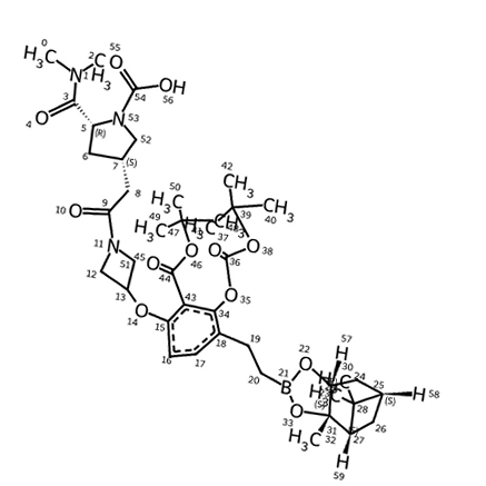 CN(C)C(=O)[C@H]1C[C@@H](CC(=O)N2CC(Oc3ccc(CCB4O[C@@H]5C[C@@H]6C[C@@H](C6(C)C)[C@]5(C)O4)c(OC(=O)OC(C)(C)C)c3C(=O)OC(C)(C)C)C2)CN1C(=O)O